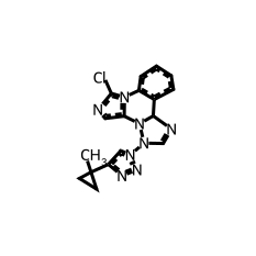 CC1(c2cn(N3C=NC4c5ccccc5-n5c(cnc5Cl)N43)nn2)CC1